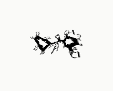 Cc1ccc(Cl)cc1C(=O)Nc1ccccc1